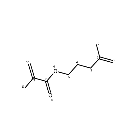 C=C(C)CCCOC(=O)C(=C)C